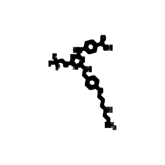 NCCNCCCOc1ccc(CNc2nc(Nc3ccc(C(=O)O)cc3)nc(OCC(F)(F)F)n2)cc1